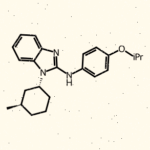 CC(C)Oc1ccc(Nc2nc3ccccc3n2[C@@H]2CCC[C@@H](C)C2)cc1